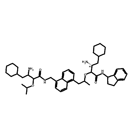 CC(C)OC(C(=O)NCc1cccc2c(CC(C)OC(C(=O)NC3CCc4ccccc43)[C@H](N)CC3CCCCC3)cccc12)C(N)CC1CCCCC1